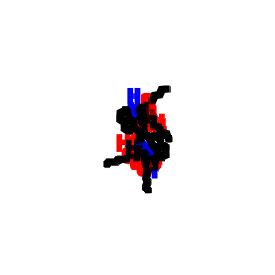 CCCCCOC(=O)CC1(CC(=O)OCCCCC)Nc2cccc3ccc(C4C(O)C(c5ccc6cccc7c6c5NC(CC(=O)OCCCCC)(CC(=O)OCCCCC)N7)C4O)c(c23)N1